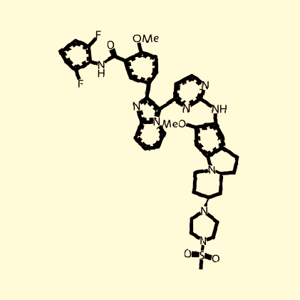 COc1cc2c(cc1Nc1nccc(-c3c(-c4ccc(OC)c(C(=O)Nc5c(F)cccc5F)c4)nc4ccccn34)n1)CCC1C[C@@H](N3CCN(S(C)(=O)=O)CC3)CCN21